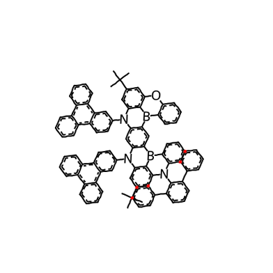 CC(C)(C)c1cc2c3c(c1)N(c1ccc4c5ccccc5c5ccccc5c4c1)c1cc4c(cc1B3c1ccccc1O2)B1c2ccccc2N(c2c(-c3ccccc3)cccc2-c2ccccc2)c2cc(C(C)(C)C)cc(c21)N4c1ccc2c3ccccc3c3ccccc3c2c1